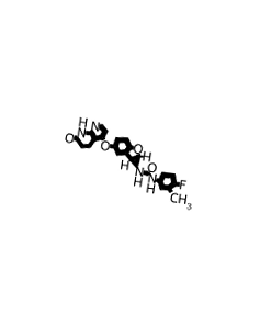 Cc1cc(NC(=O)N[C@@H]2[C@H]3Oc4ccc(Oc5ccnc6c5CCC(=O)N6)cc4[C@@H]23)ccc1F